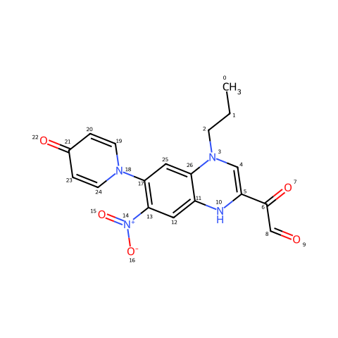 CCCN1C=C(C(=O)C=O)Nc2cc([N+](=O)[O-])c(-n3ccc(=O)cc3)cc21